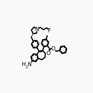 Cc1ccc(C2=C(c3ccc(C[C@H]4CCN(CCCF)C4)cc3)c3ccc(N)cc3CCC2)c(C(=O)OCc2ccccc2)c1